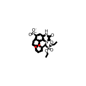 CCOP(=O)(OCC)C(c1ccccc1)n1c(=O)c(=O)[nH]c2cc([N+](=O)[O-])c3ccccc3c21